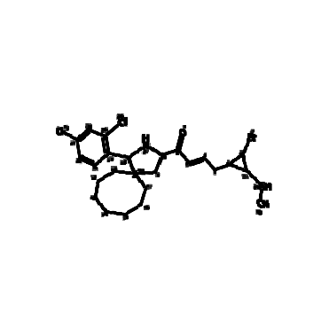 CCC1C(C/C=C/C(=O)C2CS3(CCCCCCC3)C(c3ccc(Cl)cc3Cl)N2)C1NC#N